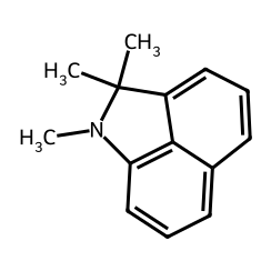 CN1c2cccc3cccc(c23)C1(C)C